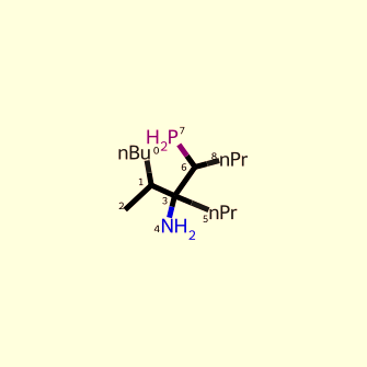 CCCCC(C)C(N)(CCC)C(P)CCC